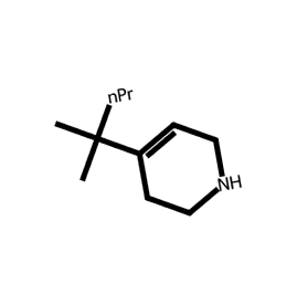 CCCC(C)(C)C1=CCNCC1